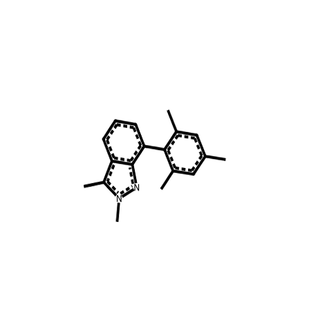 Cc1cc(C)c(-c2cccc3c(C)n(C)nc23)c(C)c1